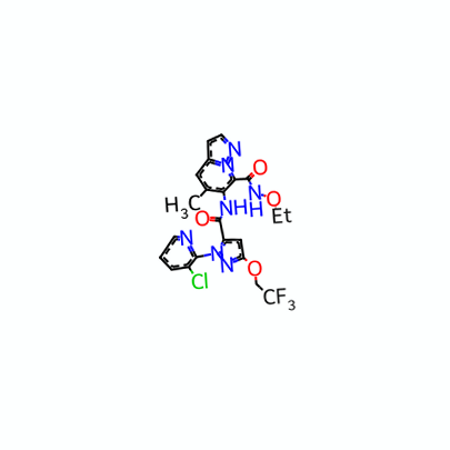 CCONC(=O)c1c(NC(=O)c2cc(OCC(F)(F)F)nn2-c2ncccc2Cl)c(C)cc2ccnn12